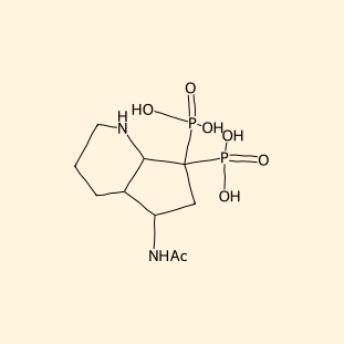 CC(=O)NC1CC(P(=O)(O)O)(P(=O)(O)O)C2NCCCC12